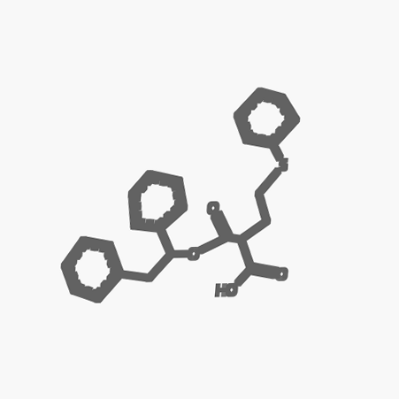 O=C(O)C(CCSc1ccccc1)C(=O)OC(Cc1ccccc1)c1ccccc1